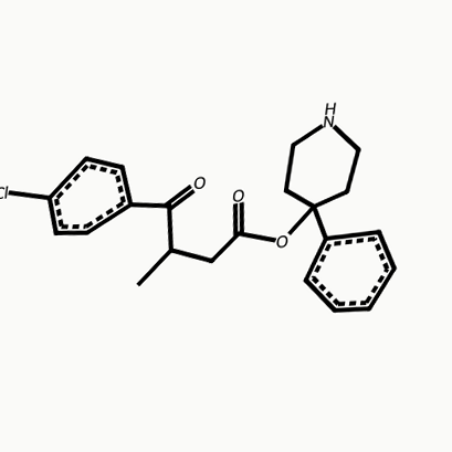 CC(CC(=O)OC1(c2ccccc2)CCNCC1)C(=O)c1ccc(Cl)cc1